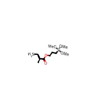 CO[Si](CCCOC(=O)C(C)=C[SiH3])(OC)OC